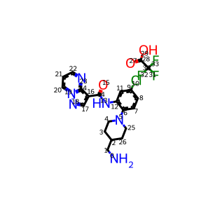 NCC1CCN(c2ccc(Cl)cc2NC(=O)c2cnn3cccnc23)CC1.O=C(O)C(F)(F)F